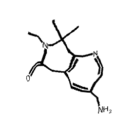 CN1C(=O)c2cc(N)cnc2C1(C)C